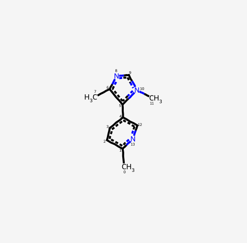 Cc1ccc(-c2c(C)ncn2C)cn1